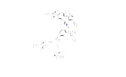 CC(=O)Nc1cc(N(CCCCS(=O)(=O)O)CCCCS(=O)(=O)O)ccc1/N=N/c1c(C#N)cnn1-c1c(Cl)cc(S(=O)(=O)O)cc1Cl